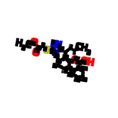 CCCCc1nnc(SCC(=O)OC)n1Cc1ccc(-c2ccccc2C(=O)O)cc1